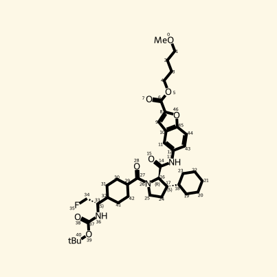 COCCCCOC(=O)c1cc2cc(NC(=O)[C@H]3[C@H](C4CCCCC4)CCN3C(=O)C3CCC([C@@H](CF)NC(=O)OC(C)(C)C)CC3)ccc2o1